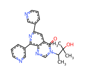 CC(n1cnc2c(-c3cccnc3)nc(-c3cccnc3)cc2c1=O)C(C)(C)O